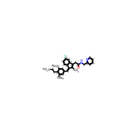 COc1cc(/C=C2/C(C)=C(CC(=O)NCc3ccccn3)c3cc(F)ccc32)cc(OC)c1CCC(=O)O